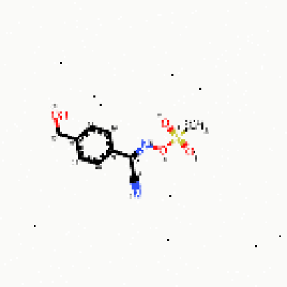 CS(=O)(=O)ON=C(C#N)c1ccc(CO)cc1